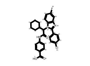 O=C(O)c1ccc(NC(=O)C(C2CCCCC2)n2c(-c3ccc(Cl)cc3)nc3cc(F)ccc32)cc1